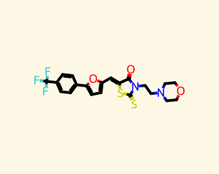 O=C1/C(=C/c2ccc(-c3ccc(C(F)(F)F)cc3)o2)SC(=S)N1CCN1CCOCC1